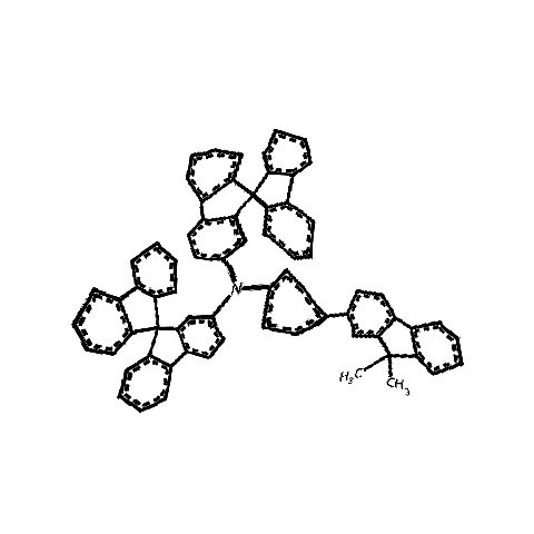 CC1(C)c2ccccc2-c2ccc(-c3ccc(N(c4ccc5c(c4)C4(c6ccccc6-c6ccccc64)c4ccccc4-5)c4ccc5c(c4)C4(c6ccccc6-c6ccccc64)c4ccccc4-5)cc3)cc21